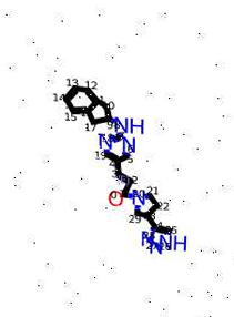 O=C(/C=C/c1cnc(NC2Cc3ccccc3C2)nc1)N1CCC(c2c[nH]nn2)C1